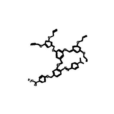 C=CCOc1cc(COc2cc(COc3cc(COc4ccc(C(=O)C(F)(F)F)cc4)ccc3N=Nc3ccc(N(C)C)cc3)cc(OCc3cc(OCC=C)cc(OCC=C)c3)c2)cc(OCC=C)c1